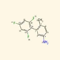 Cc1ccc(N)cc1-c1c(F)cc(F)cc1F